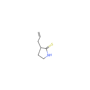 C=CCC1CCNC1=S